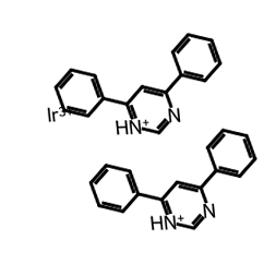 [Ir+3].c1ccc(-c2cc(-c3ccccc3)[nH+]cn2)cc1.c1ccc(-c2cc(-c3ccccc3)[nH+]cn2)cc1